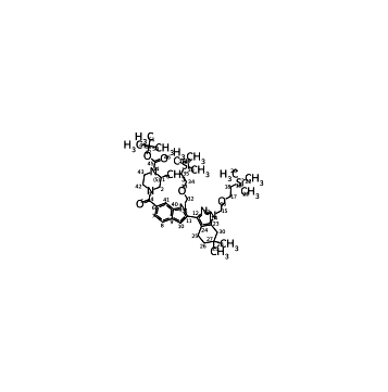 C[C@H]1CN(C(=O)c2ccc3cc(-c4nn(COCC[Si](C)(C)C)c5c4CCC(C)(C)C5)n(COCC[Si](C)(C)C)c3c2)CCN1C(=O)OC(C)(C)C